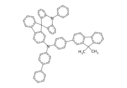 CC1(C)c2ccccc2-c2ccc(-c3ccc(N(c4ccc(-c5ccccc5)cc4)c4ccc5c(c4)C4(c6ccccc6-5)c5ccccc5N(c5ccccc5)c5ccccc54)cc3)cc21